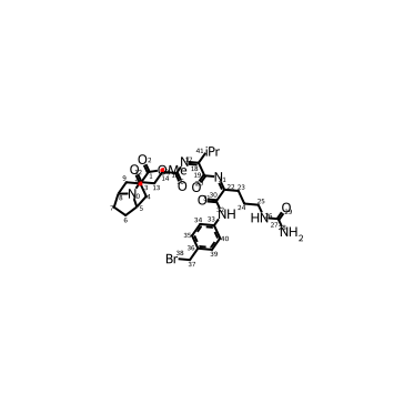 COC(=O)C1CC2CCC(C1)N2C(=O)CCC(=O)N=C(C(=O)N=C(CCCNC(N)=O)C(=O)Nc1ccc(CBr)cc1)C(C)C